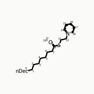 CCCCCCCCCCCCCCCCCC(=O)SCC[n+]1ccccc1.[I-]